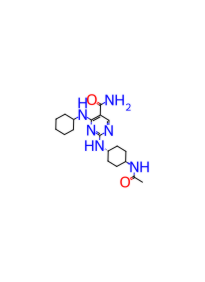 CC(=O)N[C@H]1CC[C@H](Nc2ncc(C(N)=O)c(NC3CCCCC3)n2)CC1